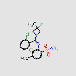 Cc1ccc(S(N)(=O)=O)c(/N=C(\c2c(Cl)cccc2Cl)N2CC(C)(F)C2)c1